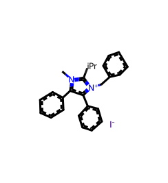 CC(C)c1n(C)c(-c2ccccc2)c(-c2ccccc2)[n+]1Cc1ccccc1.[I-]